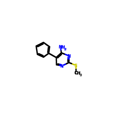 CSc1ncc(-c2ccccc2)c(N)n1